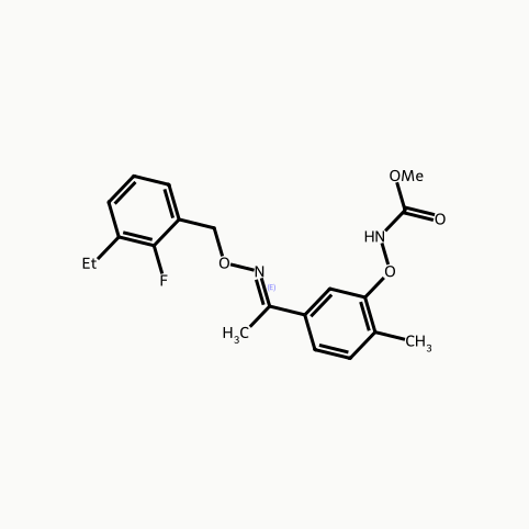 CCc1cccc(CO/N=C(\C)c2ccc(C)c(ONC(=O)OC)c2)c1F